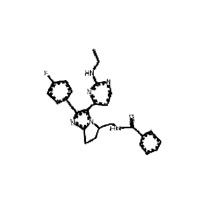 CCNc1nccc(-c2c(-c3ccc(F)cc3)nc3n2C(CNC(=O)c2ccccc2)CC3)n1